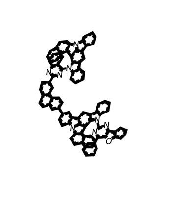 c1ccc(-c2nc(-n3c4ccccc4c4cc5c6cc(-c7ccc8c(ccc9ccc(-c%10nc(-n%11c%12ccccc%12c%12cc%13c%14ccccc%14n%14c%15ccc%16ccccc%16c%15c(c%12%11)c%13%14)c%11ccccc%11n%10)cc98)c7)ccc6n6c7ccc8ccccc8c7c(c43)c56)nc3c2oc2ccccc23)cc1